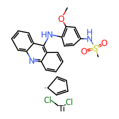 COc1cc(NS(C)(=O)=O)ccc1Nc1c2ccccc2nc2ccccc12.[CH]1C=CC=C1.[Cl][Ti][Cl]